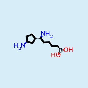 NC(CCCCB(O)O)[C@H]1CC[C@H](N)C1